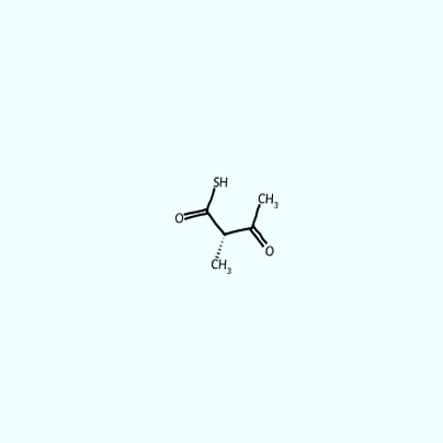 CC(=O)[C@H](C)C(=O)S